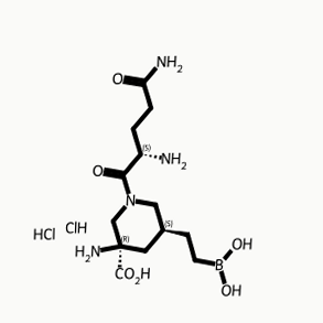 Cl.Cl.NC(=O)CC[C@H](N)C(=O)N1C[C@@H](CCB(O)O)C[C@](N)(C(=O)O)C1